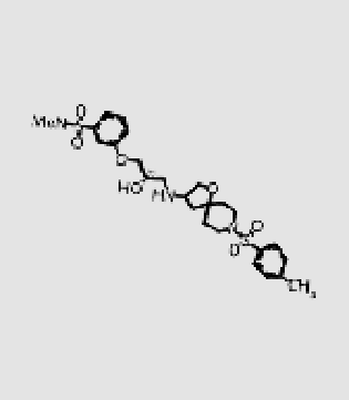 CNS(=O)(=O)c1cccc(OC[C@@H](O)CNC2COC3(CCN(S(=O)(=O)c4ccc(C)cc4)CC3)C2)c1